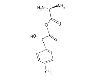 Cc1ccc([C@H](O)C(=O)OC(=O)[C@H](C)N)cc1